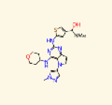 CNC(O)c1csc(Nc2nc(NC3CCOCC3)c3c(ccn3-c3cnn(C)c3)n2)c1